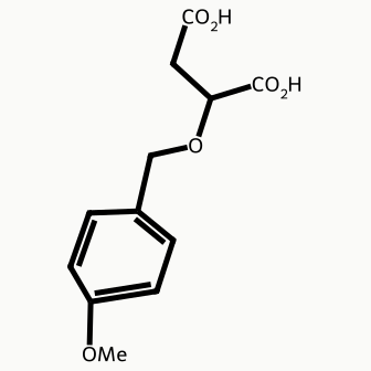 COc1ccc(COC(CC(=O)O)C(=O)O)cc1